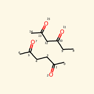 CC(=O)CCC(C)=O.CCC(=O)CC(C)=O